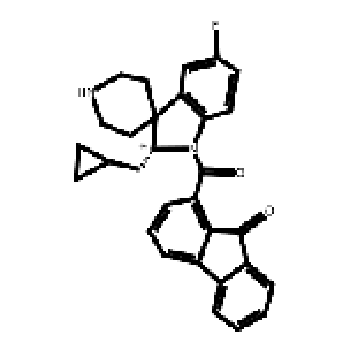 O=C1c2ccccc2-c2cccc(C(=O)N3c4ccc(F)cc4C4(CCNCC4)[C@H]3CC3CC3)c21